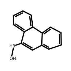 OBc1cc2ccccc2c2ccccc12